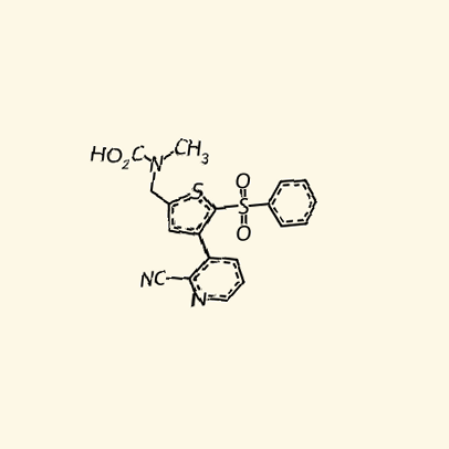 CN(Cc1cc(-c2cccnc2C#N)c(S(=O)(=O)c2ccccc2)s1)C(=O)O